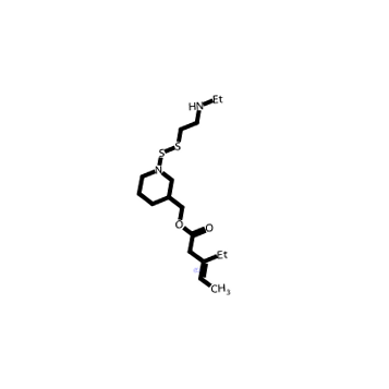 C/C=C(\CC)CC(=O)OCC1CCCN(SSCCNCC)C1